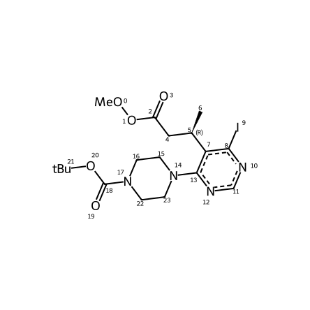 COOC(=O)C[C@@H](C)c1c(I)ncnc1N1CCN(C(=O)OC(C)(C)C)CC1